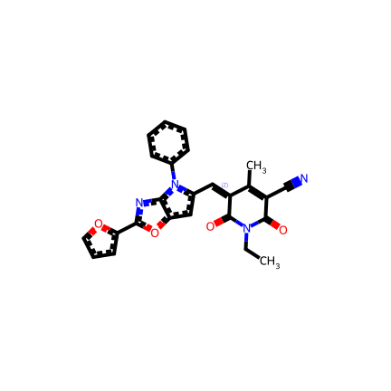 CCN1C(=O)C(C#N)=C(C)/C(=C/c2cc3oc(-c4ccco4)nc3n2-c2ccccc2)C1=O